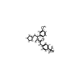 COc1cccc(C(CN2CCCC2)N(C)C(=O)Cc2ccc(C(F)(F)F)cc2)c1